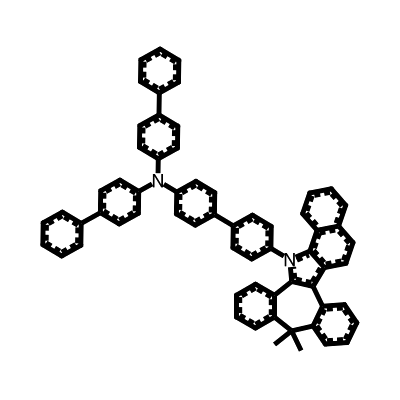 CC1(C)c2ccccc2-c2c(n(-c3ccc(-c4ccc(N(c5ccc(-c6ccccc6)cc5)c5ccc(-c6ccccc6)cc5)cc4)cc3)c3c2ccc2ccccc23)-c2ccccc21